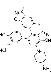 Cc1noc2cc(-c3c(-c4ccc(C#N)c(F)c4)nc(N4CCC(N)CC4)c4[nH]ncc34)c(F)cc12.Cl